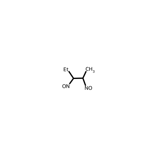 CCC(N=O)C(C)N=O